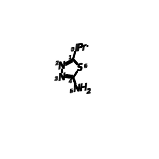 C[C](C)c1nnc(N)s1